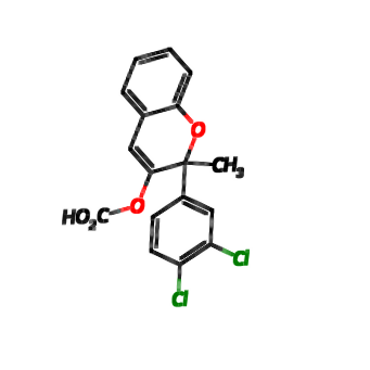 CC1(c2ccc(Cl)c(Cl)c2)Oc2ccccc2C=C1OC(=O)O